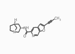 CC#Cc1cc2cc(C(=O)N[C@@H]3C[C@H]4CCN(C4)C3)ncc2o1